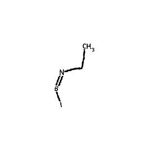 CCN=BI